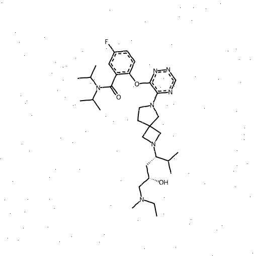 CCN(C)C[C@@H](O)C[C@@H](C(C)C)N1CC2(CCN(c3ncnnc3Oc3ccc(F)cc3C(=O)N(C(C)C)C(C)C)C2)C1